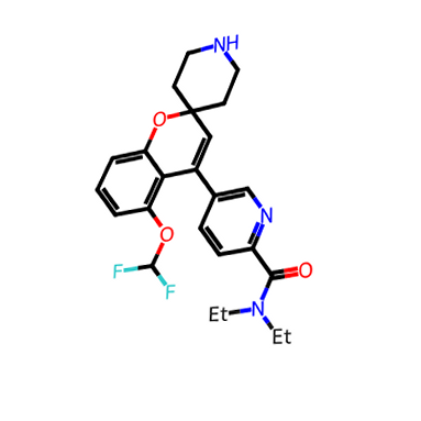 CCN(CC)C(=O)c1ccc(C2=CC3(CCNCC3)Oc3cccc(OC(F)F)c32)cn1